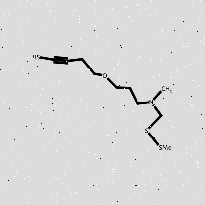 CSSCN(C)CCCOCCC#CS